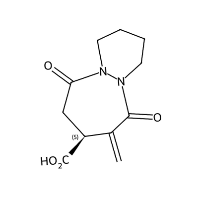 C=C1C(=O)N2CCCCN2C(=O)C[C@@H]1C(=O)O